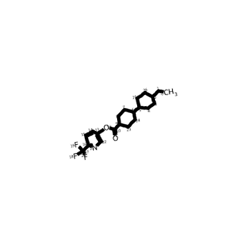 CCC1CCC(C2CCC(C(=O)Oc3ccc(C(F)(F)F)nc3)CC2)CC1